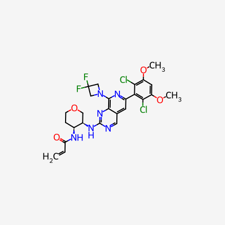 C=CC(=O)N[C@H]1CCOC[C@H]1Nc1ncc2cc(-c3c(Cl)c(OC)cc(OC)c3Cl)nc(N3CC(F)(F)C3)c2n1